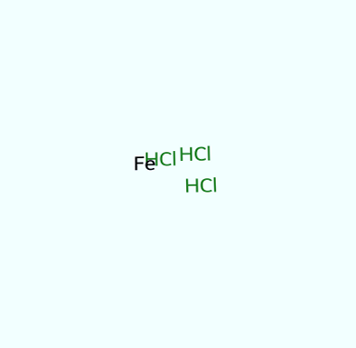 Cl.Cl.Cl.[Fe]